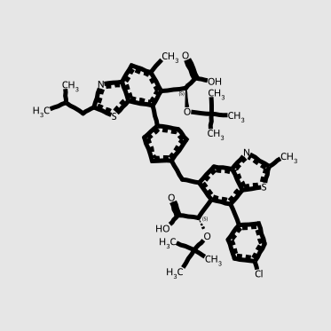 Cc1nc2cc(Cc3ccc(-c4c([C@H](OC(C)(C)C)C(=O)O)c(C)cc5nc(CC(C)C)sc45)cc3)c([C@H](OC(C)(C)C)C(=O)O)c(-c3ccc(Cl)cc3)c2s1